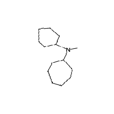 CN(C1CCCCCC1)C1CCCCC1